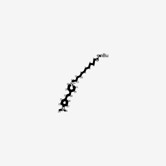 CCCCSSCCCCCCCCCCC[n+]1ccc(/C=C/c2ccc(N(C)C)cc2)cc1